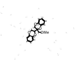 COCC1(C2COc3ccccc3O2)COc2ccccc2O1